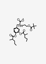 CCCC(C)C(=O)Oc1ccc(C[C@H](NCCOC(=O)C(C)(C)C)C(=O)OC)cc1OC(=O)C(C)CCC